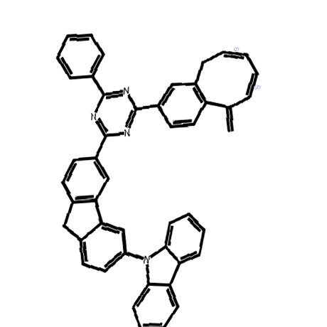 C=C1/C=C\C=C/Cc2cc(-c3nc(-c4ccccc4)nc(-c4ccc5c(c4)-c4cc(-n6c7ccccc7c7ccccc76)ccc4C5)n3)ccc21